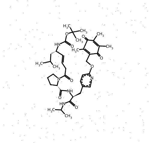 CC1=C(C)C(=O)C(COc2ccc(C[C@H](NC(=O)[C@@H]3CCCN3C(=O)C/C=C/[C@H](CC(C)C)NC(=O)OC(C)(C)C)C(=O)NC(C)C)cn2)=C(C)C1=O